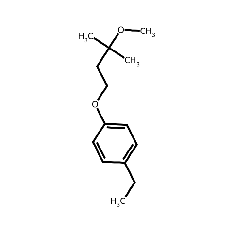 CCc1ccc(OCCC(C)(C)OC)cc1